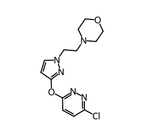 Clc1ccc(Oc2ccn(CCN3CCOCC3)n2)nn1